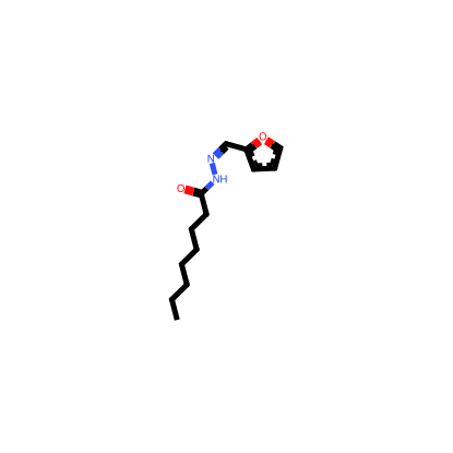 CCCCCCCC(=O)N/N=C\c1ccco1